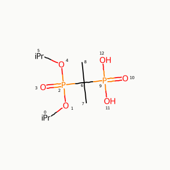 CC(C)OP(=O)(OC(C)C)C(C)(C)P(=O)(O)O